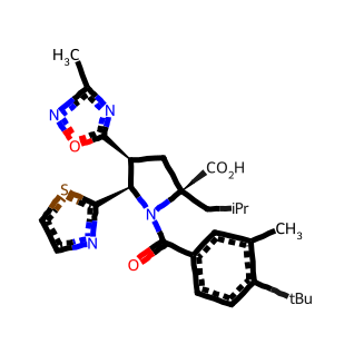 Cc1noc([C@H]2C[C@@](CC(C)C)(C(=O)O)N(C(=O)c3ccc(C(C)(C)C)c(C)c3)[C@H]2c2nccs2)n1